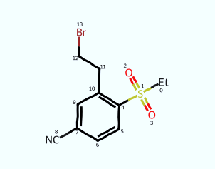 CCS(=O)(=O)c1ccc(C#N)cc1CCBr